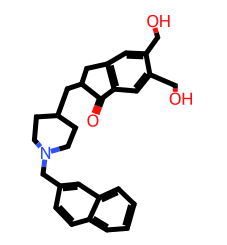 O=C1c2cc(CO)c(CO)cc2CC1CC1CCN(Cc2ccc3ccccc3c2)CC1